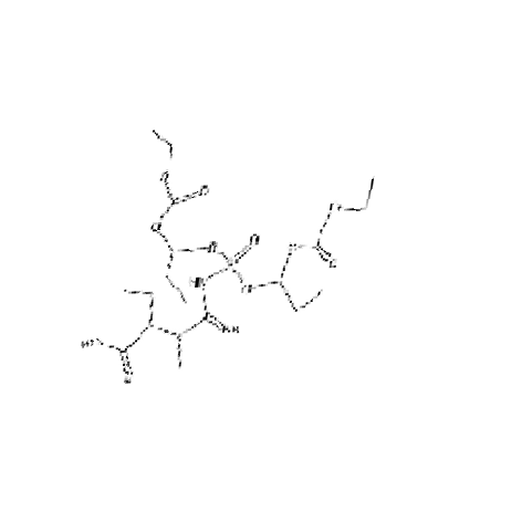 CCOC(=O)OC(CC)OP(=O)(NC(=N)N(C)C(CC)C(=O)O)OC(CC)OC(=O)OCC